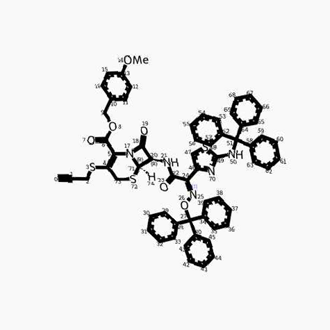 C#CCSC1=C(C(=O)OCc2ccc(OC)cc2)N2C(=O)[C@@H](NC(=O)/C(=N\OC(c3ccccc3)(c3ccccc3)c3ccccc3)c3csc(NC(c4ccccc4)(c4ccccc4)c4ccccc4)n3)[C@H]2SC1